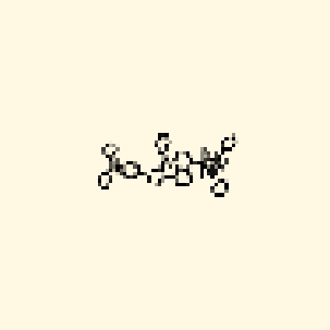 c1ccc(-c2nc(-c3ccccc3)nc(-c3ccc4c5c(cccc35)-c3ccc(-c5ccc(N(c6ccccc6)c6ccccc6)cc5)cc3N4c3ccccc3)n2)cc1